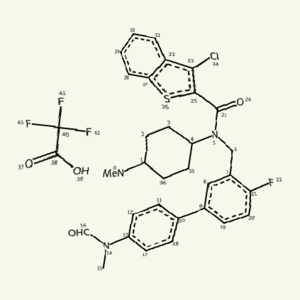 CNC1CCC(N(Cc2cc(-c3ccc(N(C)C=O)cc3)ccc2F)C(=O)c2sc3ccccc3c2Cl)CC1.O=C(O)C(F)(F)F